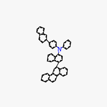 c1ccc(N(c2ccc(-c3ccc4ccccc4c3)cc2)c2ccc(-c3cc4c5ccccc5ccc4c4ccccc34)c3ccccc23)cc1